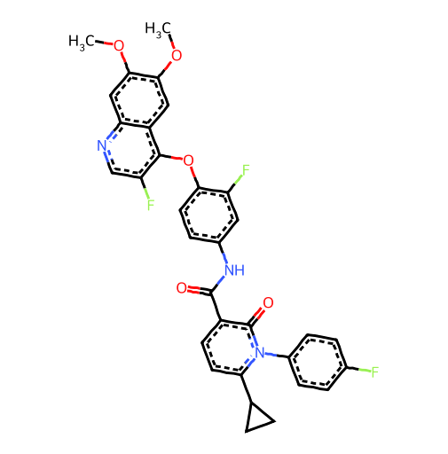 COc1cc2ncc(F)c(Oc3ccc(NC(=O)c4ccc(C5CC5)n(-c5ccc(F)cc5)c4=O)cc3F)c2cc1OC